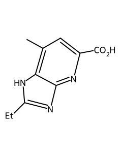 CCc1nc2nc(C(=O)O)cc(C)c2[nH]1